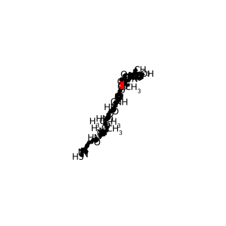 CCc1c2c(nc3ccc(O)cc13)-c1cc3c(c(=O)n1C2)COC(=O)[C@@]3(CC)OC(=O)OCc1ccc(NC(=O)CNC(=O)COCC(=O)NC(C)(C)COC(C)(C)Cn2cc(CNC(=O)CCCC#Cc3cnc(S)nc3)nn2)cc1